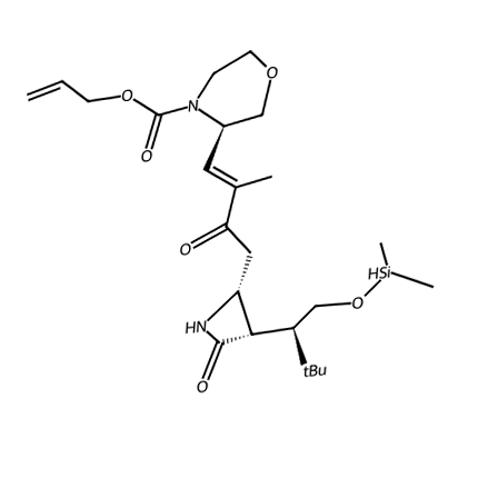 C=CCOC(=O)N1CCOC[C@H]1C=C(C)C(=O)C[C@H]1NC(=O)[C@H]1[C@@H](CO[SiH](C)C)C(C)(C)C